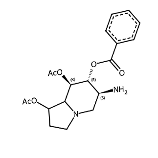 CC(=O)OC1CCN2C[C@H](N)[C@@H](OC(=O)c3ccccc3)[C@H](OC(C)=O)C12